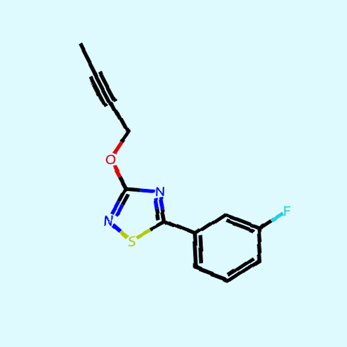 CC#CCOc1nsc(-c2cccc(F)c2)n1